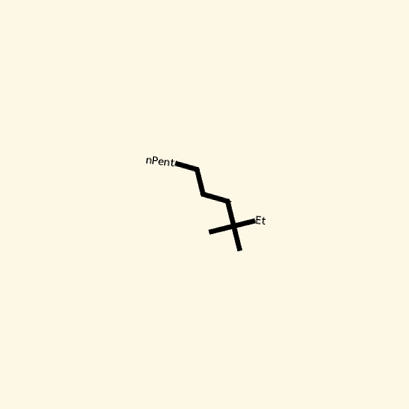 CCCCCCC[CH]C(C)(C)CC